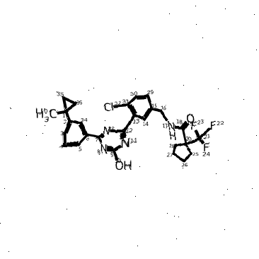 CC1(c2cccc(-c3nc(O)nc(-c4cc(CNC(=O)C5(C(F)(F)F)CCCC5)ccc4Cl)n3)c2)CC1